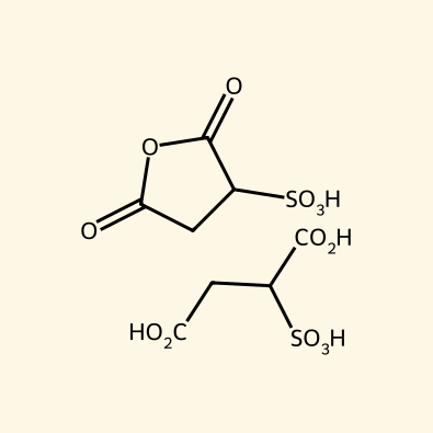 O=C(O)CC(C(=O)O)S(=O)(=O)O.O=C1CC(S(=O)(=O)O)C(=O)O1